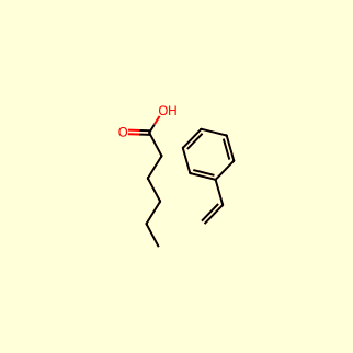 C=Cc1ccccc1.CCCCCC(=O)O